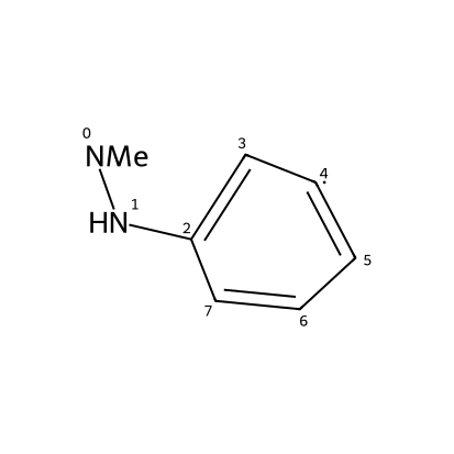 CNNc1c[c]ccc1